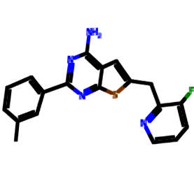 Cc1cccc(-c2nc(N)c3cc(Cc4ncccc4F)sc3n2)c1